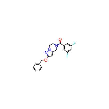 O=C(c1cc(F)cc(F)c1)N1CCn2nc(OCc3ccccc3)cc2C1